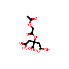 CC(=O)OCC(=O)OC(CC(=O)O)(CC(=O)O)C(=O)O